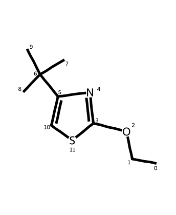 CCOc1nc(C(C)(C)C)cs1